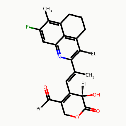 CCc1c(/C(C)=C/C2=C(C(=O)C(C)C)COC(=O)[C@]2(O)CC)nc2cc(F)c(C)c3c2c1CCC3